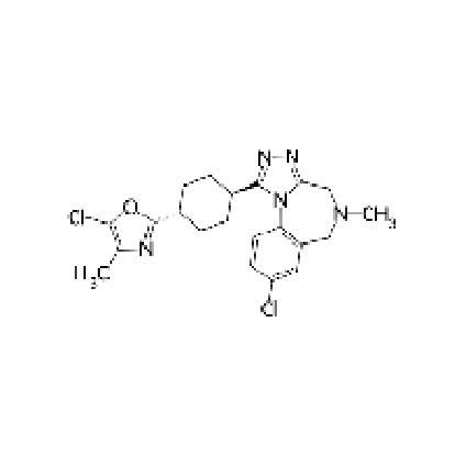 Cc1nc([C@H]2CC[C@H](c3nnc4n3-c3ccc(Cl)cc3CN(C)C4)CC2)oc1Cl